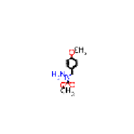 COC(=O)N(N)Cc1ccc(OC)cc1